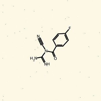 N#CN(C(=N)N)C(=O)c1ccc(F)cc1